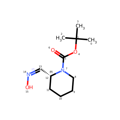 CC(C)(C)OC(=O)N1CCCC[C@@H]1/C=N\O